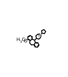 COc1cccc2c1CCc1ccccc1C2C1CCN(C2CCCC2)CC1